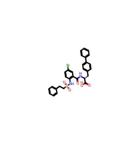 O=C(N[C@@H](Cc1ccc(-c2ccccc2)cc1)C(=O)O)c1cc(Br)ccc1NS(=O)(=O)CCc1ccccc1